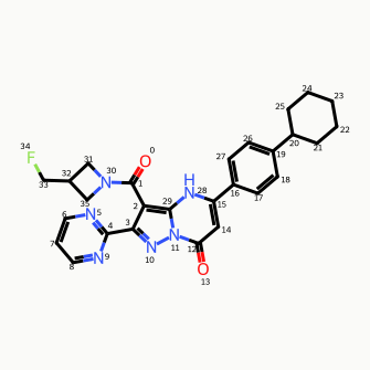 O=C(c1c(-c2ncccn2)nn2c(=O)cc(-c3ccc(C4CCCCC4)cc3)[nH]c12)N1CC(CF)C1